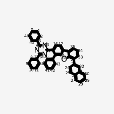 c1ccc(-c2nc(-c3ccccc3)nc(-c3ccc4c(oc5c(-c6ccc7ccccc7c6)cccc54)c3-c3ccccc3)n2)cc1